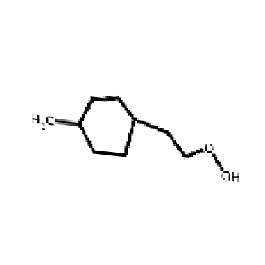 CC1CCC(CCOO)CC1